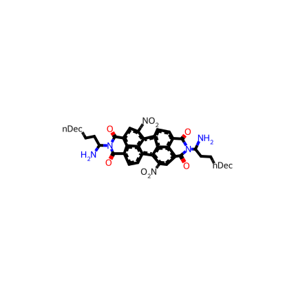 CCCCCCCCCCCCC(N)N1C(=O)c2ccc3c4c([N+](=O)[O-])cc5c6c(ccc(c7c([N+](=O)[O-])cc(c2c37)C1=O)c64)C(=O)N(C(N)CCCCCCCCCCCC)C5=O